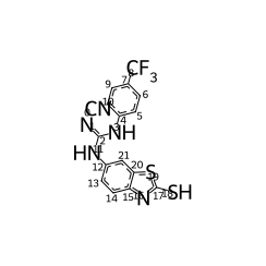 N#CN=C(Nc1ccc(C(F)(F)F)cc1)Nc1ccc2nc(S)sc2c1